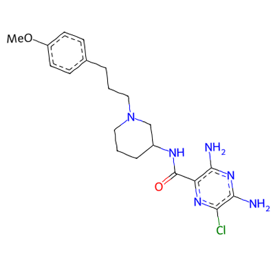 COc1ccc(CCCN2CCCC(NC(=O)c3nc(Cl)c(N)nc3N)C2)cc1